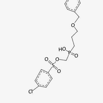 O=P(O)(CCCOCc1ccccc1)COS(=O)(=O)c1ccc(Cl)cc1